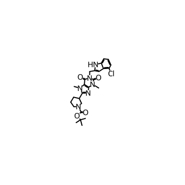 Cn1c(C2CCCN(C(=O)OC(C)(C)C)C2)nc2c1c(=O)n(Cc1cc3c(Cl)cccc3[nH]1)c(=O)n2C